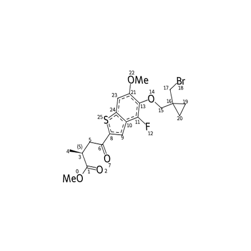 COC(=O)[C@@H](C)CC(=O)c1cc2c(F)c(OCC3(CBr)CC3)c(OC)cc2s1